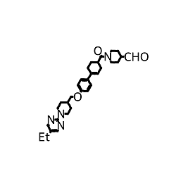 CCc1cnc(N2CCC(COc3ccc(C4=CCC(C(=O)N5CCC(C=O)CC5)CC4)cc3)CC2)nc1